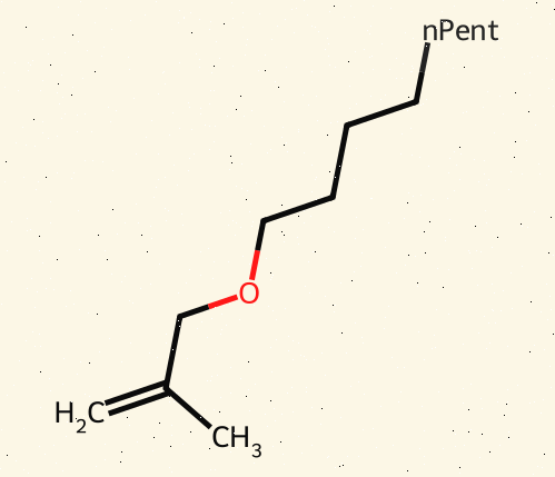 C=C(C)COCCCCCCCCC